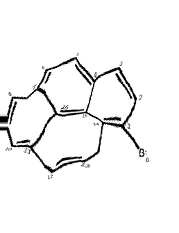 [B]c1ccc2ccc3cccc4ccc1c2c34